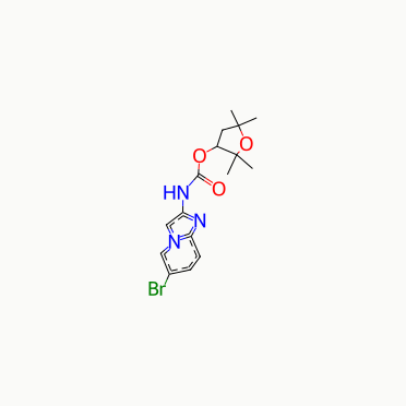 CC1(C)CC(OC(=O)Nc2cn3cc(Br)ccc3n2)C(C)(C)O1